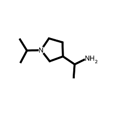 CC(N)C1CCN(C(C)C)C1